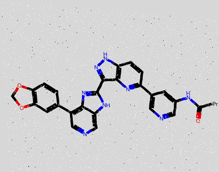 CC(C)C(=O)Nc1cncc(-c2ccc3[nH]nc(-c4nc5c(-c6ccc7c(c6)OCO7)cncc5[nH]4)c3n2)c1